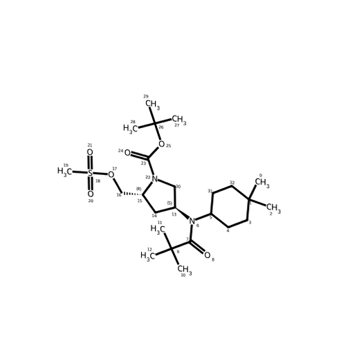 CC1(C)CCC(N(C(=O)C(C)(C)C)[C@H]2C[C@H](COS(C)(=O)=O)N(C(=O)OC(C)(C)C)C2)CC1